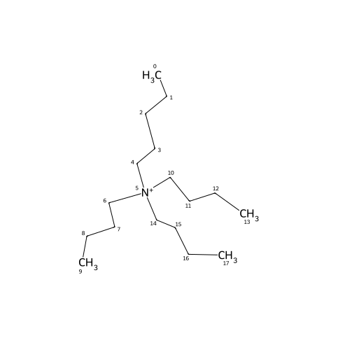 CCCCC[N+](CCCC)(CCCC)CCCC